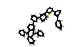 c1ccc(-c2cccc(-c3cccc4c3sc3ccc(-c5cccc(-c6ccc7c(-c8ccccc8)c8ccccc8c(-c8ccccc8)c7c6)c5)cc34)c2)cc1